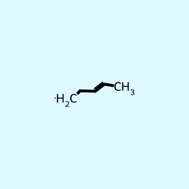 [CH2]CC=CC